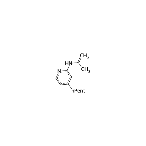 C=C(C)Nc1cc(CCCCC)ccn1